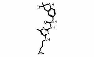 CCC1(C)CNc2ccc(NC(=O)Nc3nc(C)cc(NCCCN(C)C)n3)cc2C1